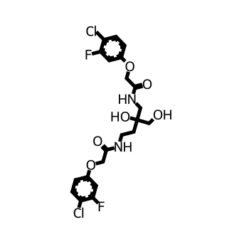 O=C(COc1ccc(Cl)c(F)c1)NCCC(O)(CO)CNC(=O)COc1ccc(Cl)c(F)c1